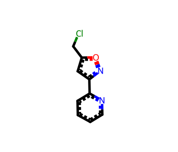 ClCc1cc(-c2ccccn2)no1